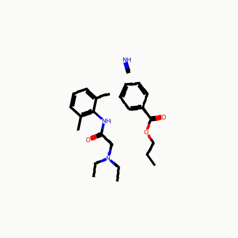 C=N.CCCOC(=O)c1ccccc1.CCN(CC)CC(=O)Nc1c(C)cccc1C